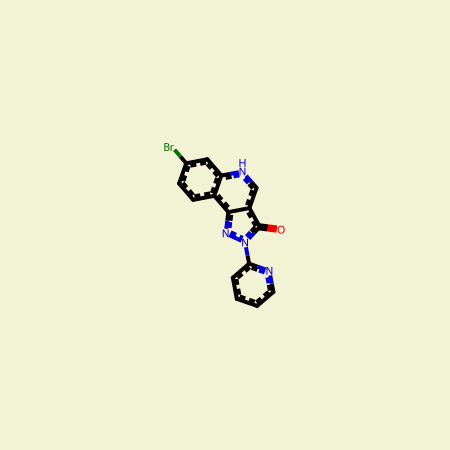 O=c1c2c[nH]c3cc(Br)ccc3c-2nn1-c1ccccn1